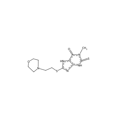 Cn1c(=S)[nH]c2nc(SCCN3CCOCC3)[nH]c2c1=O